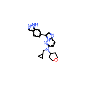 c1cc2cn[nH]c2cc1-c1cnc2ccc(N(CC3CC3)C3CCOCC3)nn12